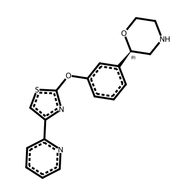 c1ccc(-c2csc(Oc3cccc([C@@H]4CNCCO4)c3)n2)nc1